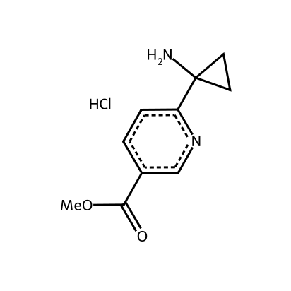 COC(=O)c1ccc(C2(N)CC2)nc1.Cl